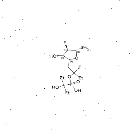 B[C@@H]1O[C@H](CC(F)(CC)OP(=O)(O)C(O)(CC)CC)[C@@H](O)[C@H]1F